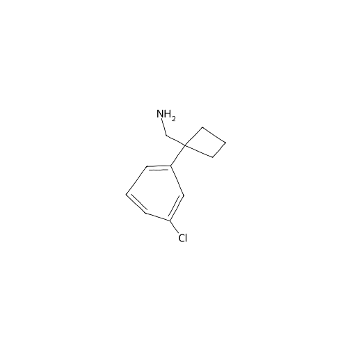 NCC1(c2cccc(Cl)c2)CCC1